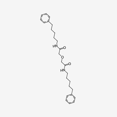 O=C(COCC(=O)NCCCCCc1ccccc1)NCCCCCc1ccccc1